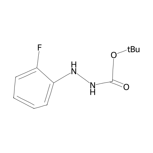 CC(C)(C)OC(=O)NNc1ccccc1F